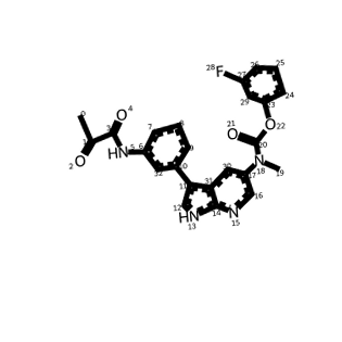 CC(=O)C(=O)Nc1cccc(-c2c[nH]c3ncc(N(C)C(=O)Oc4cccc(F)c4)cc23)c1